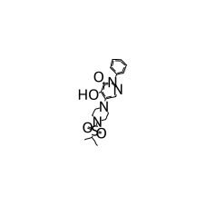 CC(C)S(=O)(=O)N1CCN(c2cnn(-c3ccccc3)c(=O)c2O)CC1